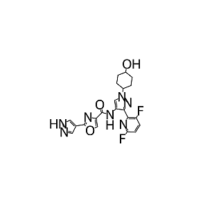 O=C(Nc1cn(C2CCC(O)CC2)nc1-c1nc(F)ccc1F)c1coc(-c2cn[nH]c2)n1